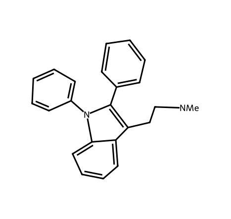 CNCCc1c(-c2ccccc2)n(-c2ccccc2)c2ccccc12